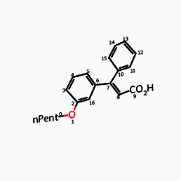 CCCCCOc1cccc(C(=CC(=O)O)c2ccccc2)c1